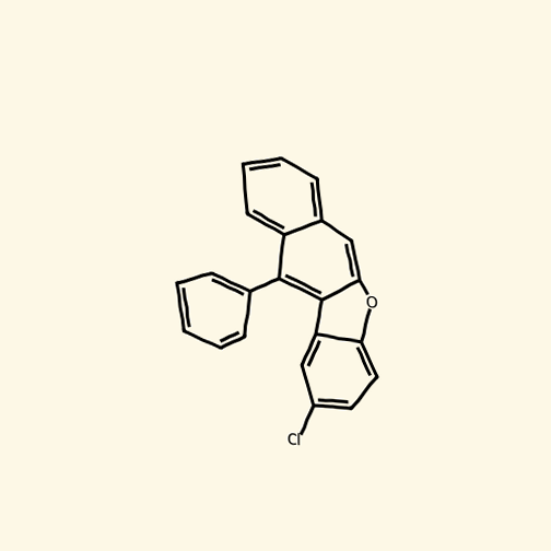 Clc1ccc2oc3cc4ccccc4c(-c4ccccc4)c3c2c1